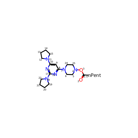 CCCCCC(=O)ON1CCN(c2cc(N3CCCC3)nc(N3CCCC3)n2)CC1